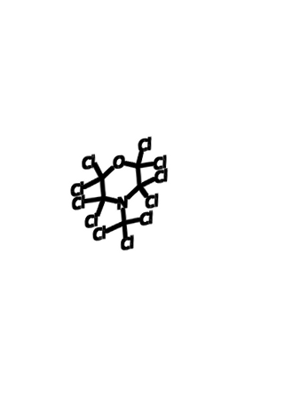 ClC(Cl)(Cl)N1C(Cl)(Cl)C(Cl)(Cl)OC(Cl)(Cl)C1(Cl)Cl